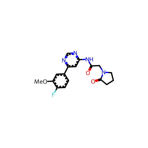 COc1cc(-c2cc(NC(=O)CN3CCCC3=O)ncn2)ccc1F